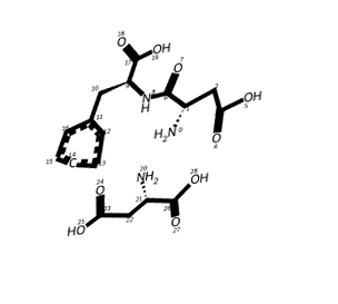 N[C@@H](CC(=O)O)C(=O)N[C@@H](Cc1ccccc1)C(=O)O.N[C@@H](CC(=O)O)C(=O)O